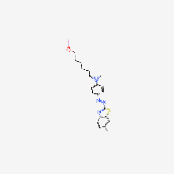 Cc1ccc2nc(/N=N/c3ccc(N(C)CCCCCCOI)cc3)sc2c1